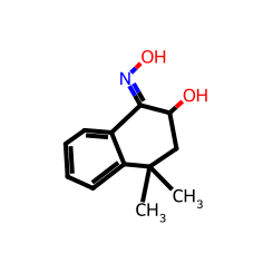 CC1(C)CC(O)C(=NO)c2ccccc21